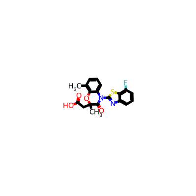 Cc1cccc2c1OC(C)(CC(=O)O)C(=O)N2c1nc2cccc(F)c2s1